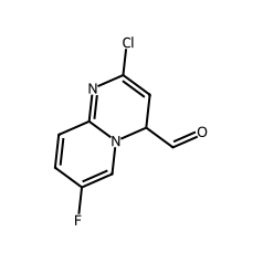 O=CC1C=C(Cl)N=C2C=CC(F)=CN21